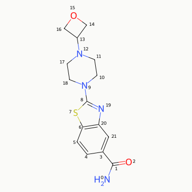 NC(=O)c1ccc2sc(N3CCN(C4COC4)CC3)nc2c1